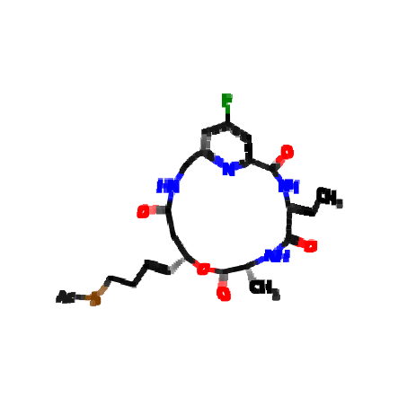 C/C=C1\NC(=O)c2cc(F)cc(n2)CNC(=O)C[C@@H](/C=C/CCSC(C)=O)OC(=O)[C@@H](C)NC1=O